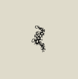 Cc1c(Cc2ccc(-n3cc(Cl)cn3)cc2)c(OC(F)F)nc2c(Cl)ccc(OCC(=O)OC(C)(C)C)c12